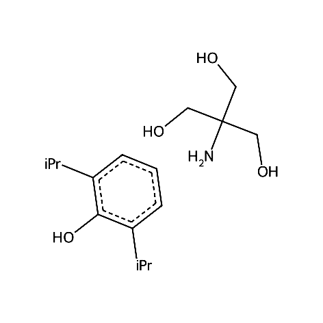 CC(C)c1cccc(C(C)C)c1O.NC(CO)(CO)CO